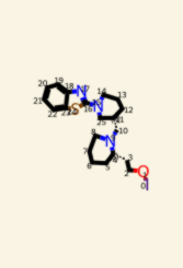 IOCC[C@@H]1CCCCN1C[C@H]1CCCN(c2nc3ccccc3s2)C1